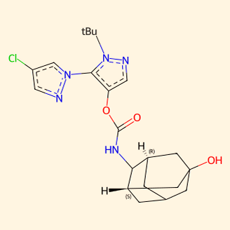 CC(C)(C)n1ncc(OC(=O)NC2[C@@H]3CC4C[C@H]2CC(O)(C4)C3)c1-n1cc(Cl)cn1